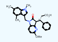 COc1ccc2c(n1)C([C@H](CC(=O)O)c1ccccc1)C(=O)N2Cc1cn(C)c2cc(C)cc(C)c12